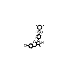 Cc1[nH]n(-c2ccc(S(=O)(=O)N3C[C@H](C)C[C@H](C)C3)cn2)c(=O)c1Cc1ccc(Cl)cc1